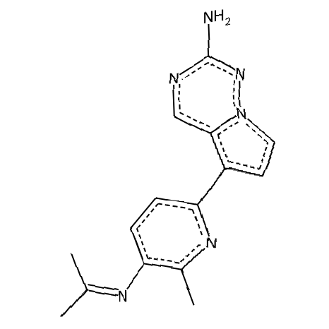 CC(C)=Nc1ccc(-c2ccn3nc(N)ncc23)nc1C